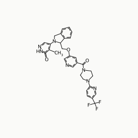 Cc1c(N2Cc3ccccc3C2COc2cncc(C(=O)N3CCN(c4ccc(C(F)(F)F)cn4)CC3)c2)cn[nH]c1=O